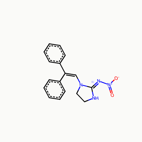 O=[N+]([O-])/N=C1\NCCN1C=C(c1ccccc1)c1ccccc1